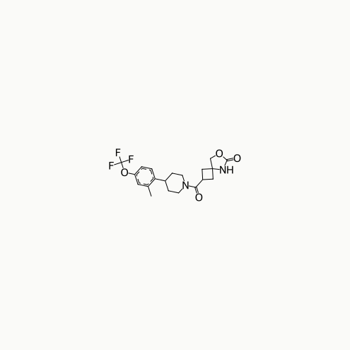 Cc1cc(OC(F)(F)F)ccc1C1CCN(C(=O)C2CC3(COC(=O)N3)C2)CC1